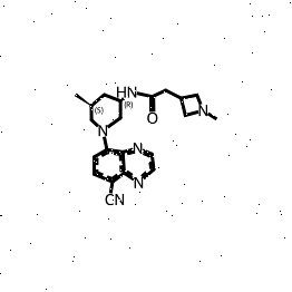 C[C@H]1C[C@@H](NC(=O)CC2CN(C)C2)CN(c2ccc(C#N)c3nccnc23)C1